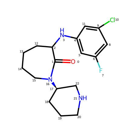 O=C1C(Nc2cc(F)cc(Cl)c2)CCCCN1[C@@H]1CCCNC1